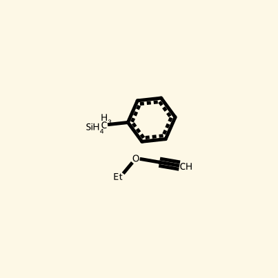 C#COCC.Cc1ccccc1.[SiH4]